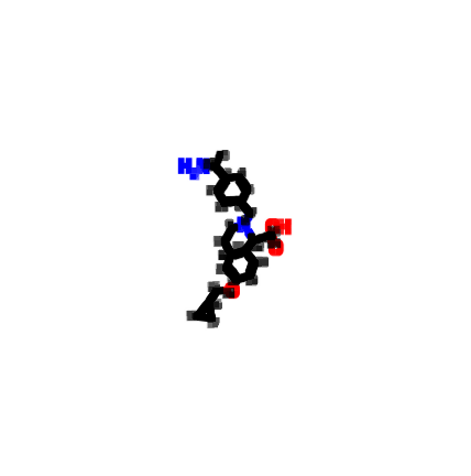 C[C@H](N)c1ccc(CN2CCc3cc(OCC4CC4)ccc3C2C(=O)O)cc1